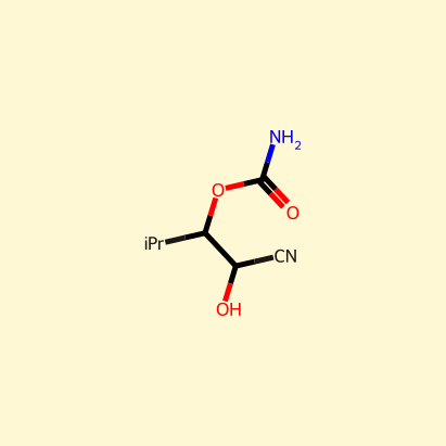 CC(C)C(OC(N)=O)C(O)C#N